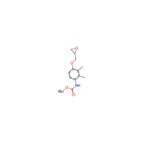 Cc1c(NC(=O)OC(C)(C)C)ccc(OCC2CO2)c1C